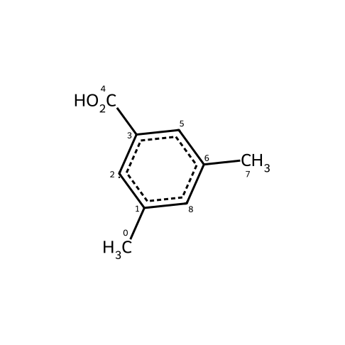 Cc1[c]c(C(=O)O)cc(C)c1